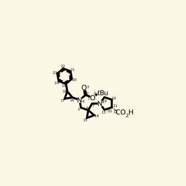 CC(C)(C)OC(=O)N(CC1(CN2CC[C@H](C(=O)O)C2)CC1)C1CC1c1ccccc1